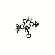 C=CC[C@@]1([N+](=O)[O-])CC[C@@](CO[C@H](C)c2cc(C(F)(F)F)cc(C(F)(F)F)c2)(c2ccccc2)N(C(=O)OCc2ccccc2)C1